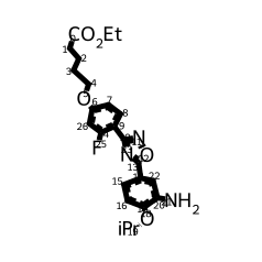 CCOC(=O)CCCCOc1ccc(-c2noc(-c3ccc(OC(C)C)c(N)c3)n2)c(F)c1